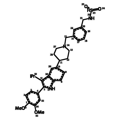 COc1ccc(-c2[nH]c3ccc(C4CCN(Cc5cccc(CN[SH](=O)=O)c5)CC4)cc3c2C(C)C)cc1OC